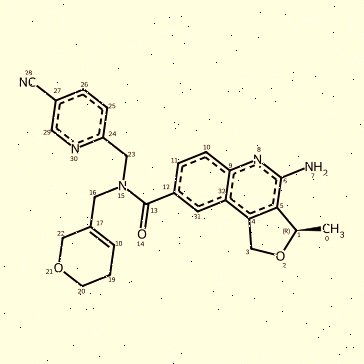 C[C@H]1OCc2c1c(N)nc1ccc(C(=O)N(CC3=CCCOC3)Cc3ccc(C#N)cn3)cc21